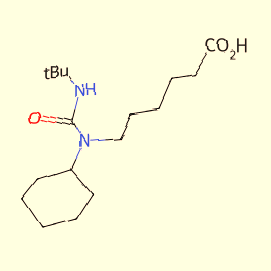 CC(C)(C)NC(=O)N(CCCCCC(=O)O)C1CCCCC1